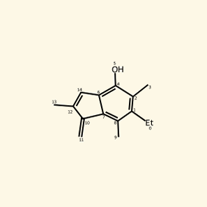 [CH2]Cc1c(C)c(O)c2c(c1C)C(=C)C(C)=C2